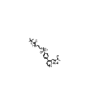 CC(C)(C)OC(=O)NCCNS(=O)(=O)c1ccc(-c2ccnc3[nH]c(C(F)F)cc23)cc1